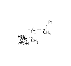 CC(C)CCCC(C)CCCC(C)CCCC(C)CCOP(=O)(O)O[PH](=O)O